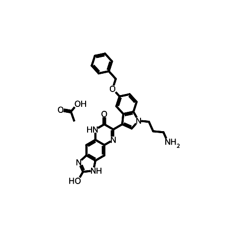 CC(=O)O.NCCCn1cc(-c2nc3cc4[nH]c(O)nc4cc3[nH]c2=O)c2cc(OCc3ccccc3)ccc21